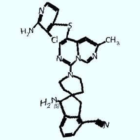 CC1=C=C2C(Sc3ccnc(N)c3Cl)=CN=C(N3CCC4(CC3)Cc3c(C#N)cccc3[C@H]4N)N2C=N1